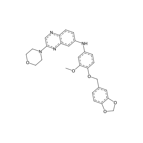 COc1cc(Nc2ccc3ncc(N4CCOCC4)nc3c2)ccc1OCc1ccc2c(c1)OCO2